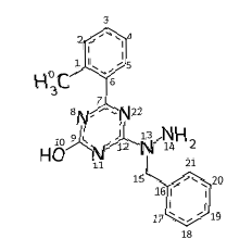 Cc1ccccc1-c1nc(O)nc(N(N)Cc2ccccc2)n1